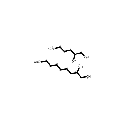 CCCCCCCCCCCCCC(O)CO.CCCCCCCCCCCCCCCCC(O)CO